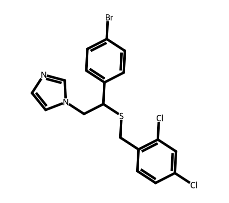 Clc1ccc(CSC(Cn2ccnc2)c2ccc(Br)cc2)c(Cl)c1